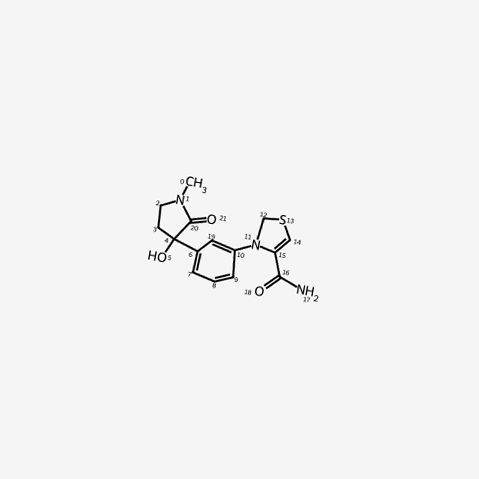 CN1CCC(O)(c2cccc(N3CSC=C3C(N)=O)c2)C1=O